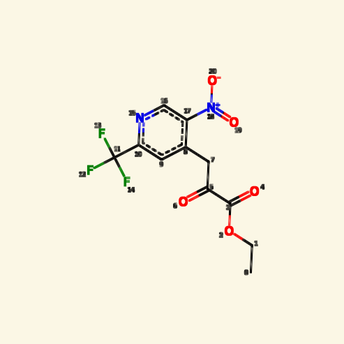 CCOC(=O)C(=O)Cc1cc(C(F)(F)F)ncc1[N+](=O)[O-]